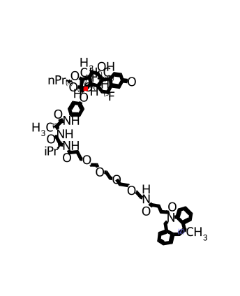 CCC[C@@H]1O[C@@H]2C[C@H]3[C@@H]4C[C@H](F)C5=CC(=O)C=C[C@]5(C)[C@@]4(F)[C@@H](O)C[C@]3(C)[C@]2(C(=O)COc2ccc(NC(=O)[C@H](C)NC(=O)[C@@H](NC(=O)CCOCCOCCOCCOCCNC(=O)CCC(=O)N3Cc4ccccc4/C=C(/C)c4ccccc43)C(C)C)cc2)O1